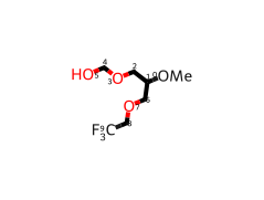 COC(COCO)COCC(F)(F)F